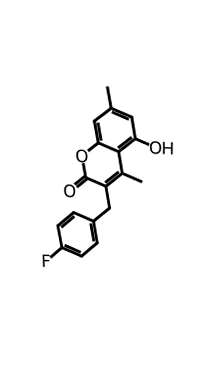 Cc1cc(O)c2c(C)c(Cc3ccc(F)cc3)c(=O)oc2c1